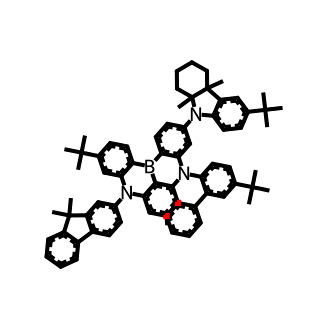 Cc1cc2c3c(c1)N(c1ccc(C(C)(C)C)cc1-c1ccccc1)c1cc(N4c5ccc(C(C)(C)C)cc5C5(C)CCCCC45C)ccc1B3c1ccc(C(C)(C)C)cc1N2c1ccc2c(c1)C(C)(C)c1ccccc1-2